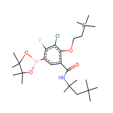 CC(C)(C)CC(C)(C)NC(=O)c1cc(B2OC(C)(C)C(C)(C)O2)c(F)c(Cl)c1OCC[Si](C)(C)C